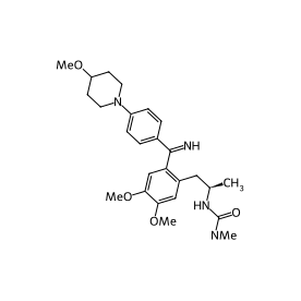 CNC(=O)N[C@H](C)Cc1cc(OC)c(OC)cc1C(=N)c1ccc(N2CCC(OC)CC2)cc1